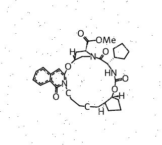 COC(=O)[C@@H]1C[C@@H]2CN1C(=O)[C@H](C1CCCC1)NC(=O)O[C@@H]1CCC[C@H]1CCCCCn1c(cc3ccccc3c1=O)O2